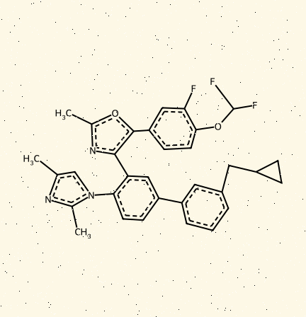 Cc1cn(-c2ccc(-c3cccc(CC4CC4)c3)cc2-c2nc(C)oc2-c2ccc(OC(F)F)c(F)c2)c(C)n1